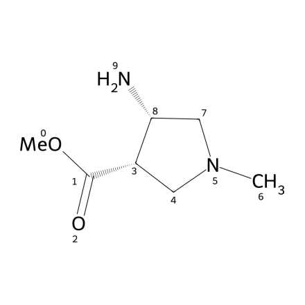 COC(=O)[C@H]1CN(C)C[C@H]1N